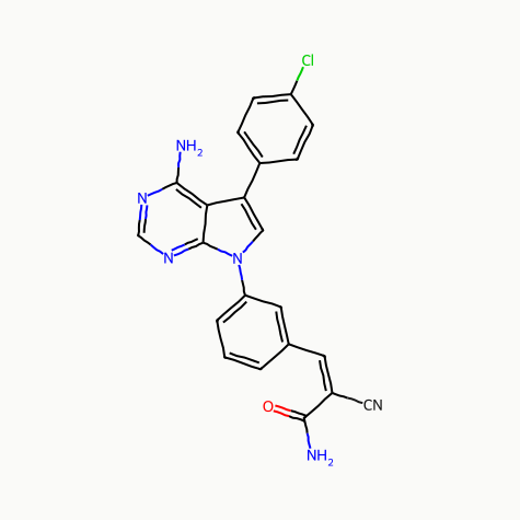 N#CC(=Cc1cccc(-n2cc(-c3ccc(Cl)cc3)c3c(N)ncnc32)c1)C(N)=O